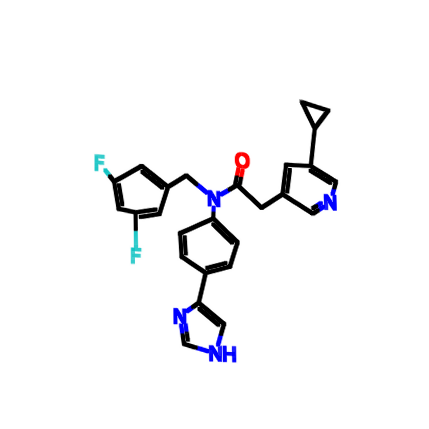 O=C(Cc1cncc(C2CC2)c1)N(Cc1cc(F)cc(F)c1)c1ccc(-c2c[nH]cn2)cc1